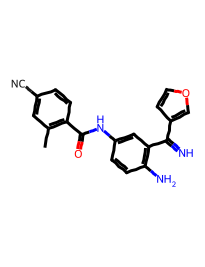 Cc1cc(C#N)ccc1C(=O)Nc1ccc(N)c(C(=N)c2ccoc2)c1